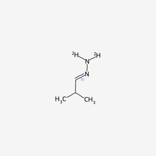 [2H]N([2H])/N=C/C(C)C